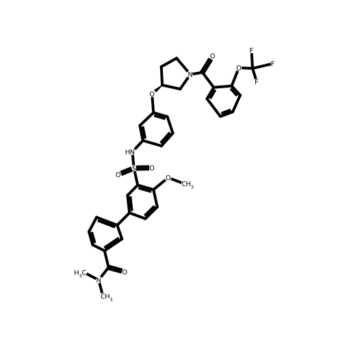 COc1ccc(-c2cccc(C(=O)N(C)C)c2)cc1S(=O)(=O)Nc1cccc(O[C@H]2CCN(C(=O)c3ccccc3OC(F)(F)F)C2)c1